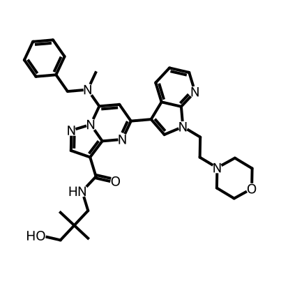 CN(Cc1ccccc1)c1cc(-c2cn(CCN3CCOCC3)c3ncccc23)nc2c(C(=O)NCC(C)(C)CO)cnn12